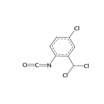 O=C=Nc1ccc(Cl)cc1C(Cl)Cl